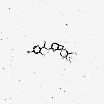 C[C@@]1(C(F)(F)F)OC[C@@]2(Cc3ccc(NC(=O)c4ncc(C#N)cc4Cl)nc32)N=C1N